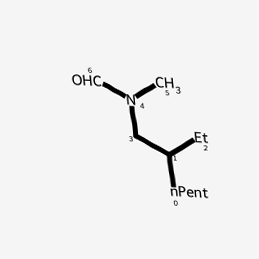 CCCCCC(CC)CN(C)C=O